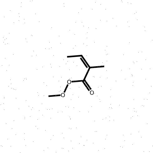 CC=C(C)C(=O)OOC